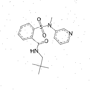 CN(c1cccnc1)S(=O)(=O)c1ccccc1C(=O)NCC(C)(C)C